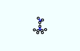 c1ccc(-c2cc3c(c4ccccc24)c2c4ccccc4c(-c4ccccc4)cc2n3-c2ccc(-c3ccc4c(c3)c3ccccc3n4-c3ccccc3)cc2)cc1